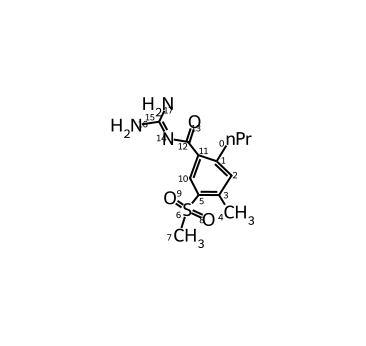 CCCc1cc(C)c(S(C)(=O)=O)cc1C(=O)N=C(N)N